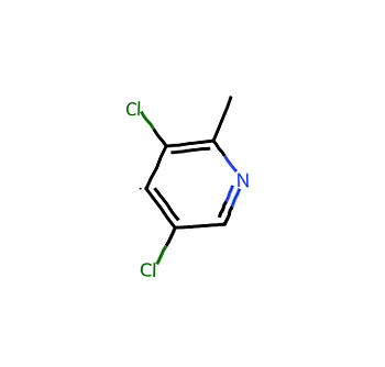 Cc1ncc(Cl)[c]c1Cl